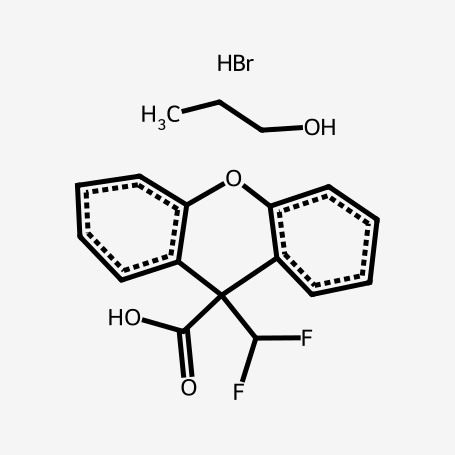 Br.CCCO.O=C(O)C1(C(F)F)c2ccccc2Oc2ccccc21